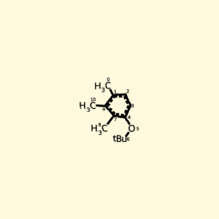 Cc1ccc(OC(C)(C)C)c(C)c1C